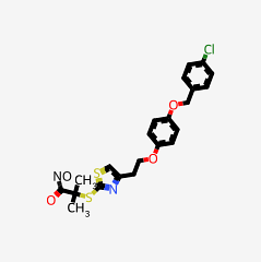 CC(C)(Sc1nc(CCOc2ccc(OCc3ccc(Cl)cc3)cc2)cs1)C(=O)N=O